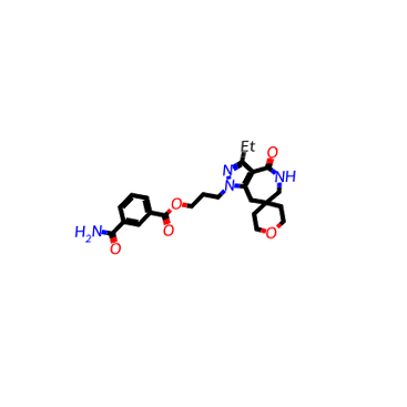 CCc1nn(CCCOC(=O)c2cccc(C(N)=O)c2)c2c1C(=O)NCC1(CCOCC1)C2